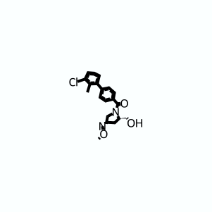 CO/N=C1\C[C@@H](CO)N(C(=O)c2ccc(-c3cccc(Cl)c3C)cc2)C1